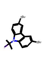 CC(C)(C)c1ccc2c(c1)c1cc(C(C)(C)C)ccc1n2C(C)(C)I